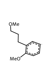 COCCCc1c[c]ccc1OC